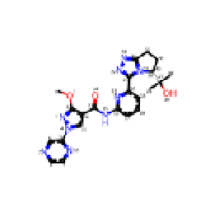 COc1nn(-c2cnccn2)cc1C(=O)Nc1cccc(-c2nnc3n2[C@@H](C(C)(C)O)CC3)n1